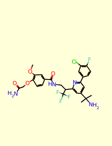 COc1cc(C(=O)NCC(c2cc(C(C)(C)N)cc(-c3ccc(F)c(Cl)c3)n2)C(F)(F)F)ccc1OCC(N)=O